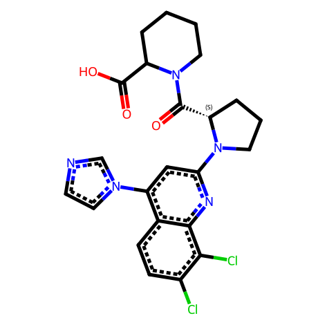 O=C(O)C1CCCCN1C(=O)[C@@H]1CCCN1c1cc(-n2ccnc2)c2ccc(Cl)c(Cl)c2n1